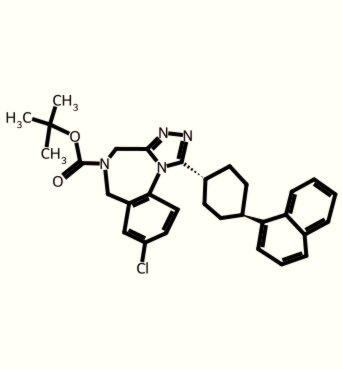 CC(C)(C)OC(=O)N1Cc2cc(Cl)ccc2-n2c(nnc2[C@H]2CC[C@H](c3cccc4ccccc43)CC2)C1